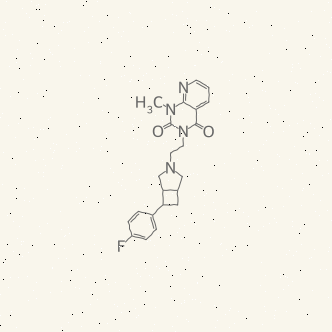 Cn1c(=O)n(CCN2CC3CC(c4ccc(F)cc4)C3C2)c(=O)c2cccnc21